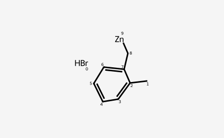 Br.Cc1ccccc1[CH2][Zn]